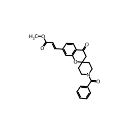 COC(=O)C=Cc1ccc2c(c1)OC1(CCN(C(=O)c3ccccc3)CC1)CC2=O